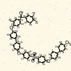 COc1ccc(-c2ccc(Oc3ccc(S(=O)(=O)c4ccc(Oc5ccc(-c6ccc(Oc7ccc(C(=O)c8ccc(C)c(C)c8)cc7C)cc6)cc5)cc4)cc3)cc2)cc1